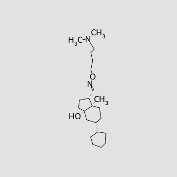 CN(C)CCCCON=C[C@H]1CC[C@]2(O)C[C@@H](C3CCCCC3)CC[C@]12C